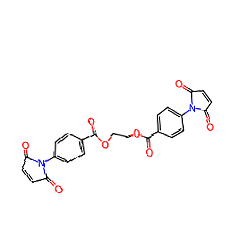 O=C(OCCOC(=O)c1ccc(N2C(=O)C=CC2=O)cc1)c1ccc(N2C(=O)C=CC2=O)cc1